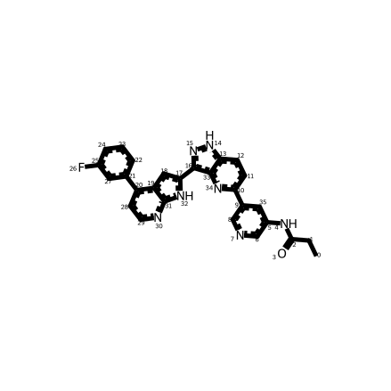 CCC(=O)Nc1cncc(-c2ccc3[nH]nc(-c4cc5c(-c6cccc(F)c6)ccnc5[nH]4)c3n2)c1